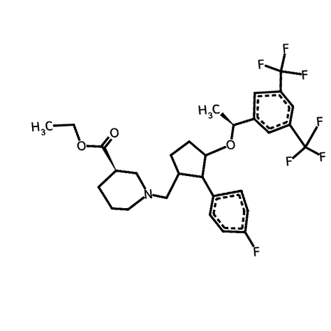 CCOC(=O)[C@@H]1CCCN(CC2CCC(O[C@@H](C)c3cc(C(F)(F)F)cc(C(F)(F)F)c3)C2c2ccc(F)cc2)C1